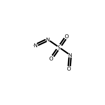 [N]=NS(=O)(=O)N=O